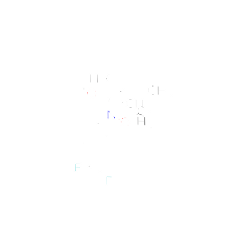 CCC(C)(C)C(=O)N(Cc1ccc(F)c(F)c1)OC